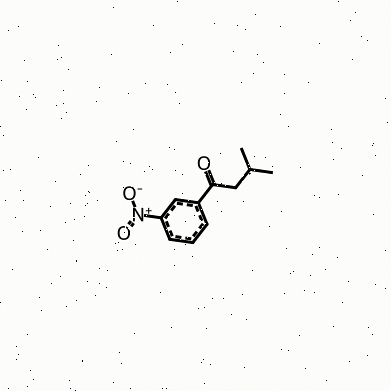 C[C](C)CC(=O)c1cccc([N+](=O)[O-])c1